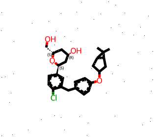 CC1(C)C2CC(Oc3ccc(Cc4cc([C@@H]5C[C@@H](O)C[C@@H](CO)O5)ccc4Cl)cc3)CC21